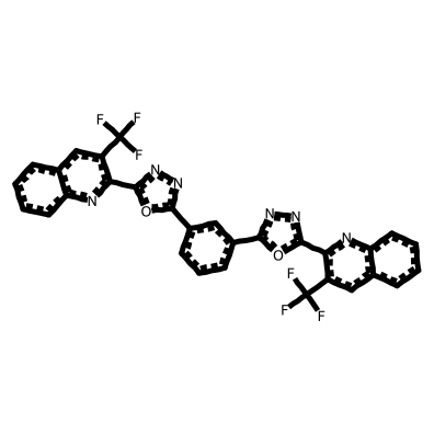 FC(F)(F)c1cc2ccccc2nc1-c1nnc(-c2cccc(-c3nnc(-c4nc5ccccc5cc4C(F)(F)F)o3)c2)o1